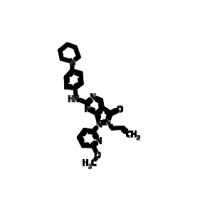 C=CCn1c(=O)c2cnc(Nc3ccc(N4CCCCC4)cc3)nc2n1-c1cccc(OC)n1